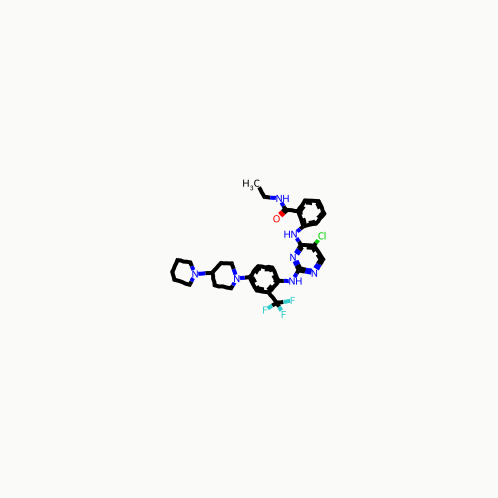 CCNC(=O)c1ccccc1Nc1nc(Nc2ccc(N3CCC(N4CCCCC4)CC3)cc2C(F)(F)F)ncc1Cl